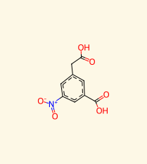 O=C(O)Cc1cc(C(=O)O)cc([N+](=O)[O-])c1